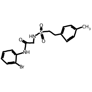 Cc1ccc(CCS(=O)(=O)NCC(=O)Nc2ccccc2Br)cc1